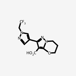 O=C(O)c1c(-c2cnn(CC(F)(F)F)c2)nn2c1OCCC2